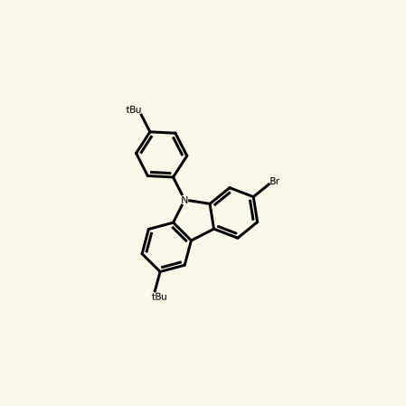 CC(C)(C)c1ccc(-n2c3ccc(C(C)(C)C)cc3c3ccc(Br)cc32)cc1